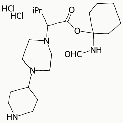 CC(C)C(C(=O)OC1(NC=O)CCCCC1)N1CCN(C2CCNCC2)CC1.Cl.Cl